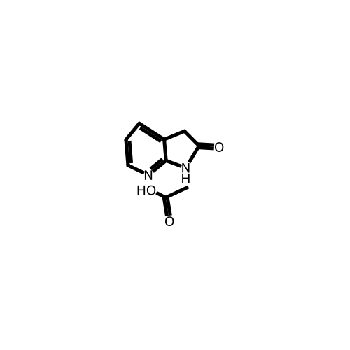 CC(=O)O.O=C1Cc2cccnc2N1